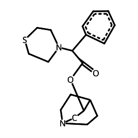 O=C(OC1CN2CCC1CC2)C(c1ccccc1)N1CCSCC1